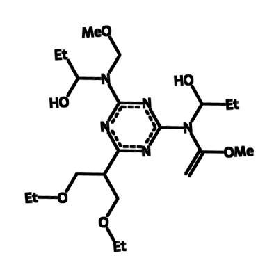 C=C(OC)N(c1nc(C(COCC)COCC)nc(N(COC)C(O)CC)n1)C(O)CC